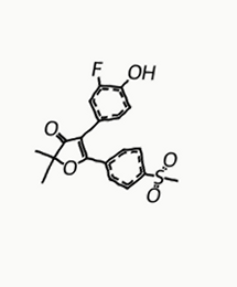 CC1(C)OC(c2ccc(S(C)(=O)=O)cc2)=C(c2ccc(O)c(F)c2)C1=O